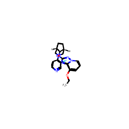 Fc1cnccc1N1C[C@H]2CC[C@@H](C1)C2Nc1nc2c(OCC(F)(F)F)cccn2n1